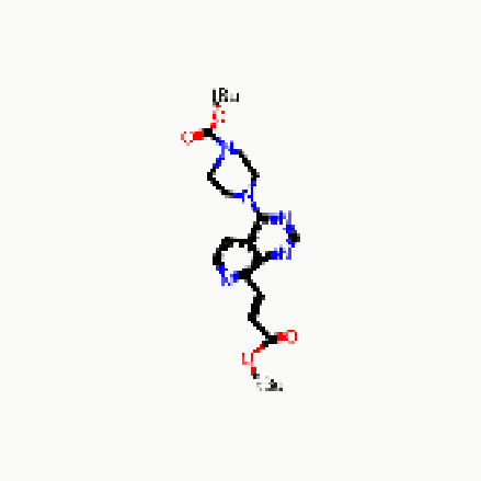 CC(C)(C)OC(=O)/C=C/c1nccc2c(N3CCN(C(=O)OC(C)(C)C)CC3)ncnc12